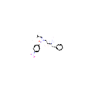 CC(C)CN(C[C@@H](O)[C@H](Cc1ccccc1)NP)S(=O)(=O)c1ccc([N+](=O)[O-])cc1